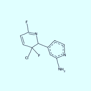 Nc1cc(C2N=C(F)C=CC2(F)Cl)ccn1